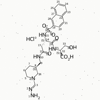 Cl.NN=CN1CCC[C@@H](CNC(=O)C[C@H](NS(=O)(=O)c2ccc3ccccc3c2)C(=O)N[C@@H](CO)C(=O)O)C1